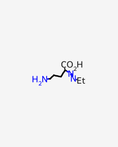 CC/N=N/[C@@H](CCCN)C(=O)O